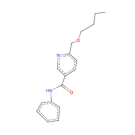 CCCCOCc1ccc(C(=O)Nc2ccccc2)cn1